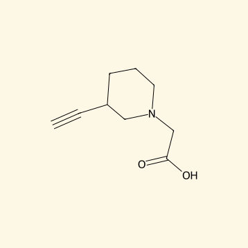 C#CC1CCCN(CC(=O)O)C1